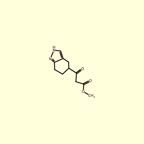 COC(=O)CC(=O)C1CCc2n[nH]cc2C1